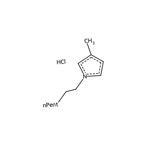 CCCCCCCn1ccc(C)c1.Cl